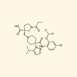 CCC(=O)N1CC[C@@](CN2CCC(C(=O)Nc3ccc(Cl)cc3OC(F)F)(n3nccc3C(C)C)CC2)(C(=O)O)C1